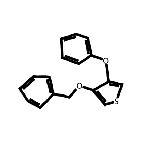 [c]1scc(Oc2ccccc2)c1OCc1ccccc1